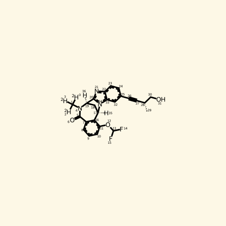 [2H]C([2H])([2H])N1C(=O)c2cccc(OC(F)F)c2[C@H]2C[C@@H]1c1nc3ccc(C#C[C@@H](C)CO)cc3n12